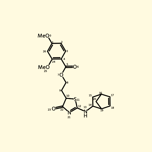 COc1ccc(C(=O)OCCC2SC(NC3CC4C=CC3C4)=NC2=O)c(OC)c1